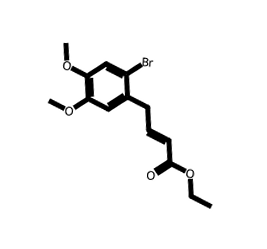 CCOC(=O)C=CCc1cc(OC)c(OC)cc1Br